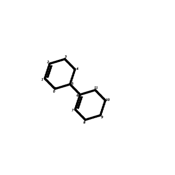 [C]1C=CCCC1C1=CCCCC1